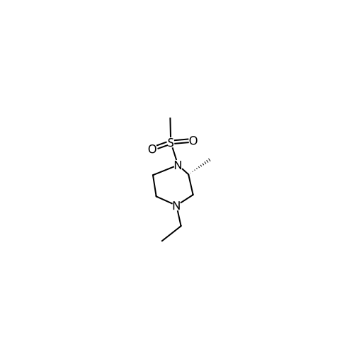 CCN1CCN(S(C)(=O)=O)[C@H](C)C1